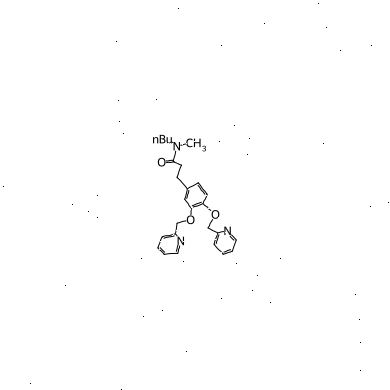 CCCCN(C)C(=O)CCc1ccc(OCc2ccccn2)c(OCc2ccccn2)c1